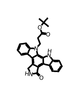 CC(C)(C)OC(=O)CCn1c2ccccc2c2c3c(c4c5ccccc5[nH]c4c21)C(=O)NC3